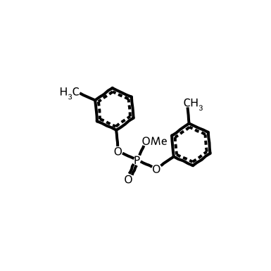 COP(=O)(Oc1cccc(C)c1)Oc1cccc(C)c1